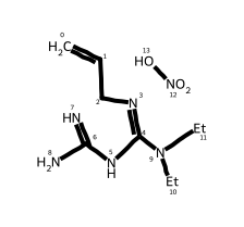 C=CC/N=C(\NC(=N)N)N(CC)CC.O=[N+]([O-])O